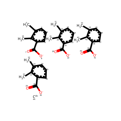 Cc1cccc(C(=O)[O-])c1C.Cc1cccc(C(=O)[O-])c1C.Cc1cccc(C(=O)[O-])c1C.Cc1cccc(C(=O)[O-])c1C.[C+4]